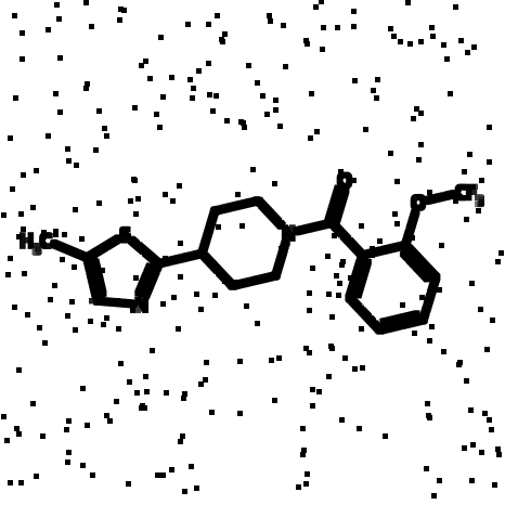 Cc1[c]nc(C2CCN(C(=O)c3ccccc3OC(F)(F)F)CC2)s1